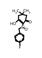 CC1(C)CC(=O)C([S+]([O-])Cc2ccc(F)cc2)=C(O)C1